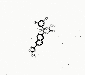 Cc1nc(-c2ccc3cc(N(CC(=O)OC(C)(C)C)S(=O)(=O)c4cc(Cl)cc(Cl)c4)ccc3c2)no1